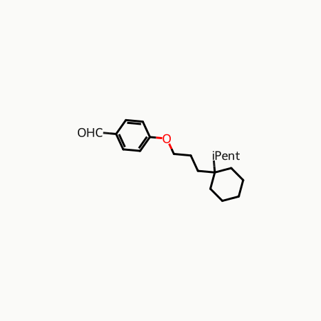 CCCC(C)C1(CCCOc2ccc(C=O)cc2)CCCCC1